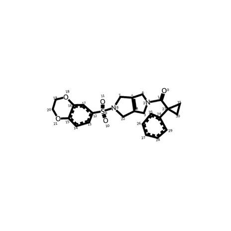 O=C(N1CC2=C(C1)CN(S(=O)(=O)c1ccc3c(c1)OCCO3)C2)C1(c2ccccc2)CC1